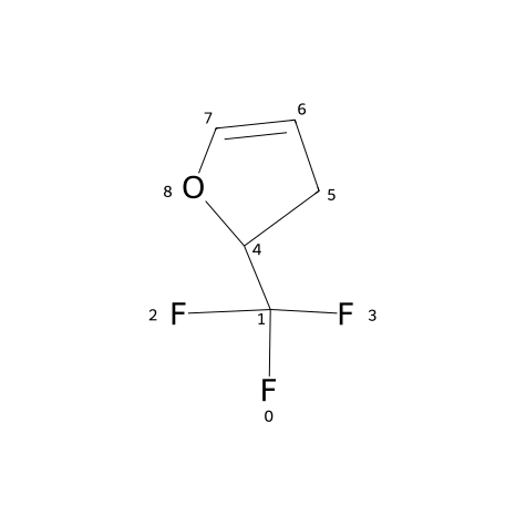 FC(F)(F)C1CC=CO1